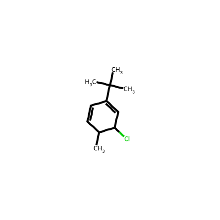 CC1C=CC(C(C)(C)C)=CC1Cl